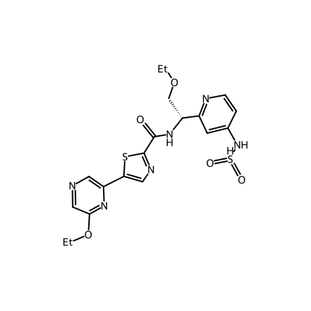 CCOC[C@@H](NC(=O)c1ncc(-c2cncc(OCC)n2)s1)c1cc(N[SH](=O)=O)ccn1